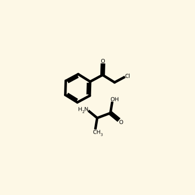 CC(N)C(=O)O.O=C(CCl)c1ccccc1